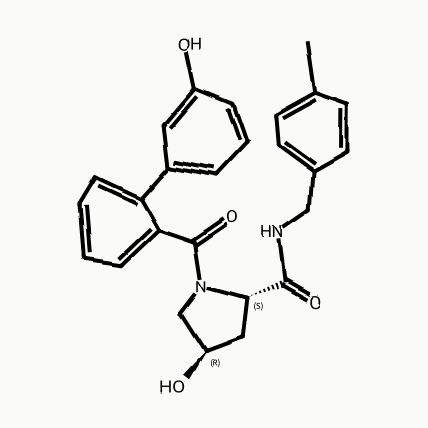 Cc1ccc(CNC(=O)[C@@H]2C[C@@H](O)CN2C(=O)c2ccccc2-c2cccc(O)c2)cc1